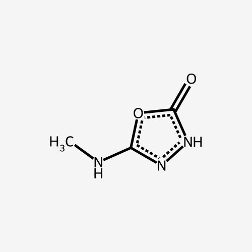 CNc1n[nH]c(=O)o1